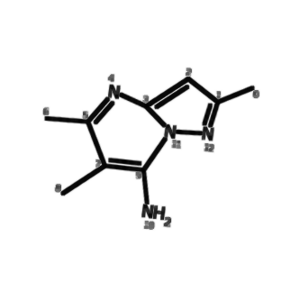 Cc1cc2nc(C)c(C)c(N)n2n1